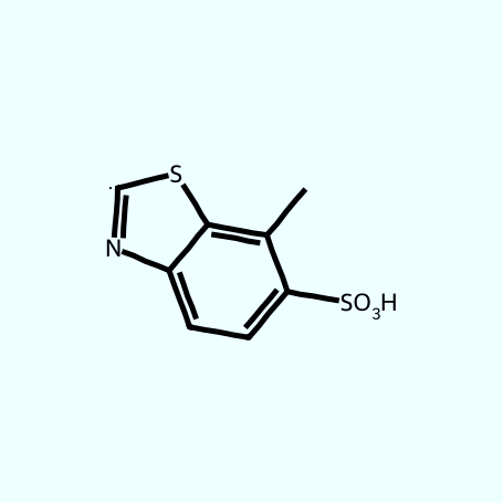 Cc1c(S(=O)(=O)O)ccc2n[c]sc12